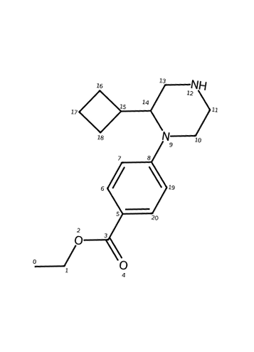 CCOC(=O)c1ccc(N2CCNCC2C2CCC2)cc1